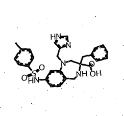 Cc1ccc(S(=O)(=O)Nc2ccc3c(c2)N(Cc2c[nH]cn2)CC(Cc2ccccc2)(C(=O)O)NC3)cc1